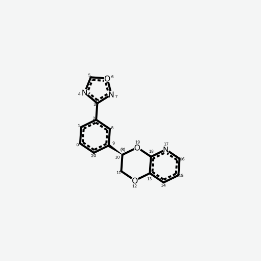 c1cc(-c2ncon2)cc([C@@H]2COc3cccnc3O2)c1